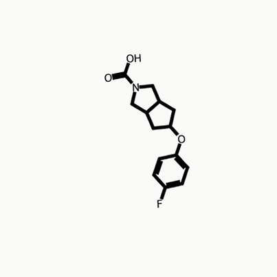 O=C(O)N1CC2CC(Oc3ccc(F)cc3)CC2C1